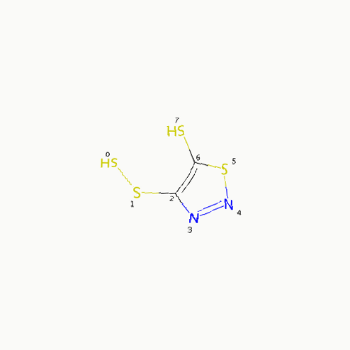 SSc1nnsc1S